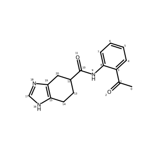 CC(=O)c1ccccc1NC(=O)C1CCc2[nH]cnc2C1